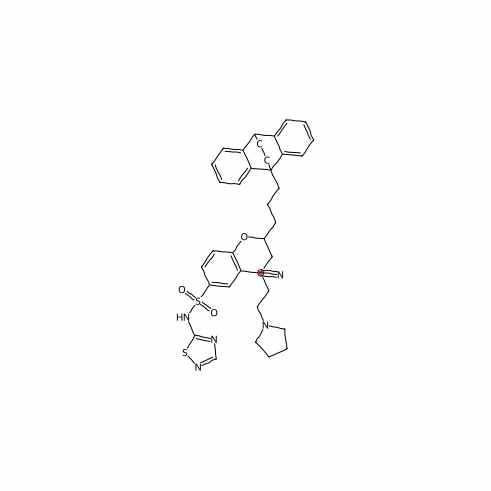 N#Cc1cc(S(=O)(=O)Nc2ncns2)ccc1OC(CCCC12CCC(c3ccccc31)c1ccccc12)COCCN1CCCC1